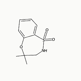 CC1(C)CNS(=O)(=O)c2ccccc2O1